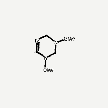 CON1[C]=NCN(OC)C1